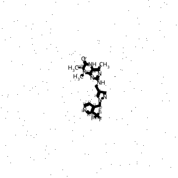 Cc1nc(NCc2cnn(Cc3ccncc3C(F)(F)F)c2)nc2c1NC(=O)[C@H](C)N2C